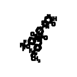 CCC(F)(F)c1ccc(CNC(=O)[C@H]2CN(c3nc4c(=O)[nH]ncc4s3)CCN2S(=O)(=O)c2ccc(OC(F)(F)F)cc2)cc1